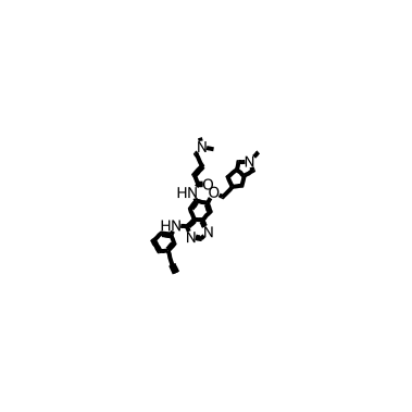 C#Cc1cccc(Nc2ncnc3cc(OCC4CC5CN(C)CC5C4)c(NC(=O)C=CCN(C)C)cc23)c1